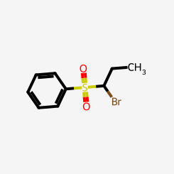 CCC(Br)S(=O)(=O)c1ccccc1